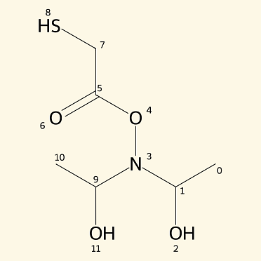 CC(O)N(OC(=O)CS)C(C)O